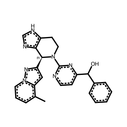 Cc1cccn2nc([C@H]3c4nc[nH]c4CCN3c3nccc(C(O)c4ccccc4)n3)cc12